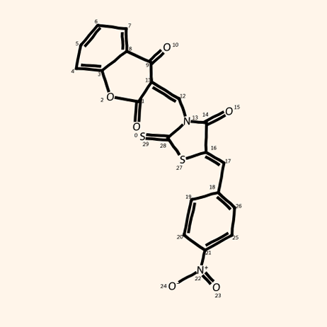 O=C1Oc2ccccc2C(=O)C1=CN1C(=O)C(=Cc2ccc([N+](=O)[O-])cc2)SC1=S